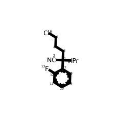 CC(C)C(C#N)(CCCCl)c1ccccc1F